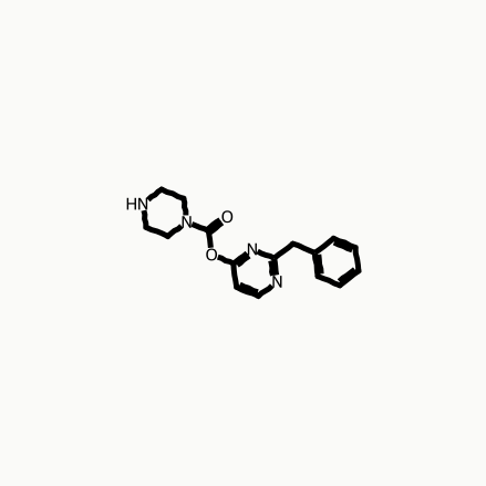 O=C(Oc1ccnc(Cc2ccccc2)n1)N1CCNCC1